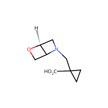 O=C(O)C1(CN2C[C@@H]3OCC32)CC1